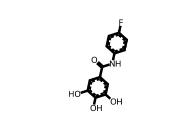 O=C(Nc1ccc(F)cc1)c1cc(O)c(O)c(O)c1